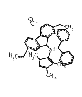 CCc1ccc2c(c1)[CH]([Zr+2]([C]1=C(C)C(C)=CC1C)=[C](c1ccccc1)c1ccccc1)c1cc(CC)ccc1-2.[Cl-].[Cl-]